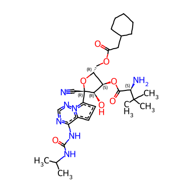 CC(C)NC(=O)Nc1ncnn2c([C@]3(C#N)O[C@H](COC(=O)CC4CCCCC4)[C@@H](OC(=O)[C@@H](N)C(C)(C)C)[C@H]3O)ccc12